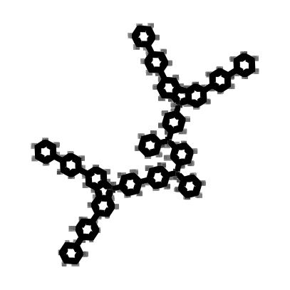 c1ccc(-c2ccc(-c3ccc4c(c3)c3cc(-c5ccc(-c6ccccc6)cc5)ccc3n4-c3ccc(-c4ccc(N(c5ccccc5)c5cccc(N(c6ccccc6)c6ccc(-n7c8ccc(-c9ccc(-c%10ccccc%10)cc9)cc8c8cc(-c9ccc(-c%10ccccc%10)cc9)ccc87)cc6)c5)cc4)cc3)cc2)cc1